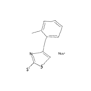 Cc1ccccc1-c1csc([S-])n1.[Na+]